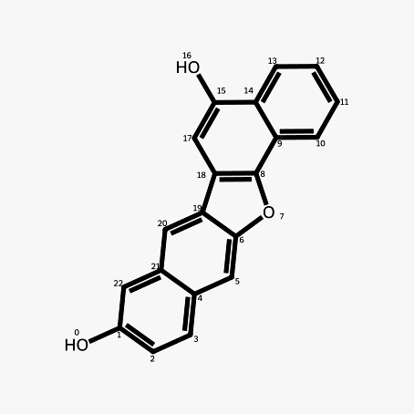 Oc1ccc2cc3oc4c5ccccc5c(O)cc4c3cc2c1